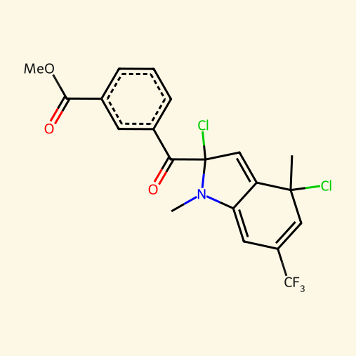 COC(=O)c1cccc(C(=O)C2(Cl)C=C3C(=CC(C(F)(F)F)=CC3(C)Cl)N2C)c1